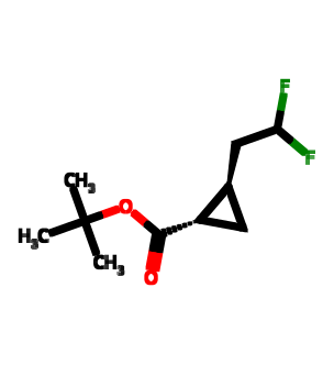 CC(C)(C)OC(=O)[C@H]1C[C@@H]1CC(F)F